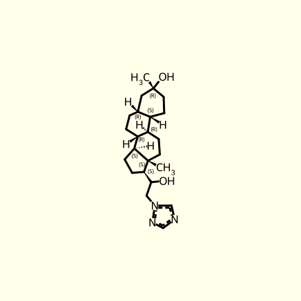 C[C@@]1(O)CC[C@H]2[C@H](CC[C@@H]3[C@@H]2CC[C@]2(C)[C@@H](C(O)Cn4cncn4)CC[C@@H]32)C1